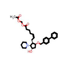 CC(=O)OCOC(=O)CCC/C=C\C[C@@H]1[C@@H](N2CCCCC2)[C@@H](O)C[C@@H]1OCc1ccc(-c2ccccc2)cc1